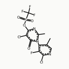 Cc1cnc(Cl)c(F)c1-n1c(C)nc(OS(=O)(=O)C(F)(F)F)c(Cl)c1=O